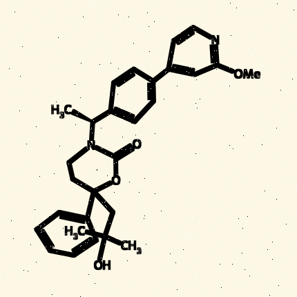 COc1cc(-c2ccc([C@H](C)N3CCC(CC(C)(C)O)(c4ccccc4)OC3=O)cc2)ccn1